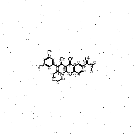 CCC(Nc1cc(F)cc(F)c1)c1c(N2CCOCC2)oc2ccc(C(=O)N(C)C)cc2c1=O